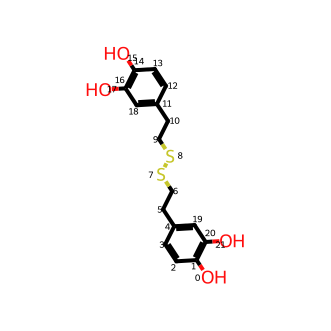 Oc1ccc(CCSSCCc2ccc(O)c(O)c2)cc1O